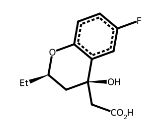 CC[C@@H]1C[C@@](O)(CC(=O)O)c2cc(F)ccc2O1